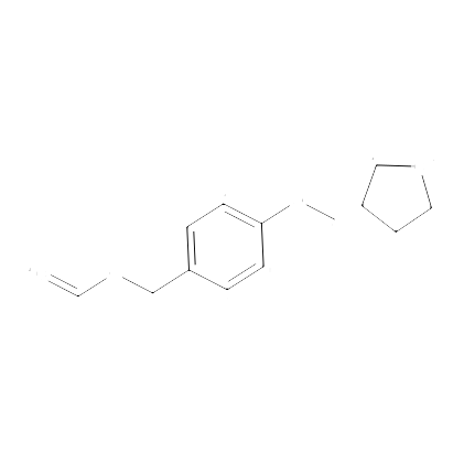 C1CCOC1.COc1ccc(COC=O)cc1